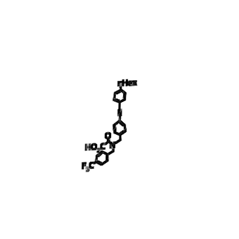 CCCCCCc1ccc(C#Cc2ccc(CN(Cc3ccc(C(F)(F)F)cc3)C(=O)C(=O)O)cc2)cc1